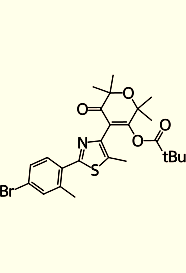 Cc1cc(Br)ccc1-c1nc(C2=C(OC(=O)C(C)(C)C)C(C)(C)OC(C)(C)C2=O)c(C)s1